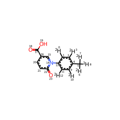 [2H]c1c([2H])c(C([2H])([2H])[2H])c([2H])c([2H])c1-n1cc(C(=O)O)ccc1=O